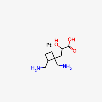 NCC1CCC1(CN)CC(O)C(=O)O.[Pt]